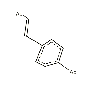 CC(=O)C=Cc1ccc(C(C)=O)cc1